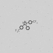 FC(F)(F)c1ccc(-c2nnc(-c3ccc(C(F)(F)F)cc3)n2-c2ccccc2)cc1